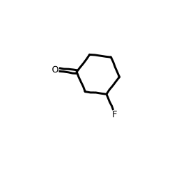 O=C1CCCC(F)C1